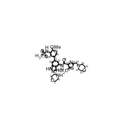 C1COCCN1.COc1ncc(-c2cc(NC(=O)c3nc(CN4CCOCC4)sc3C(=O)O)c3cn[nH]c3c2)cc1NS(C)(=O)=O